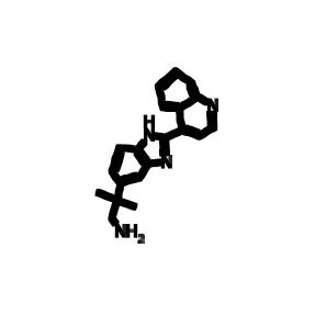 CC(C)(CN)c1ccc2[nH]c(-c3ccnc4ccccc34)nc2c1